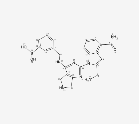 NCc1cc2c(C(N)=O)cccc2n1-c1nc2c(c(NCc3cccc(B(O)O)c3)n1)CNC2